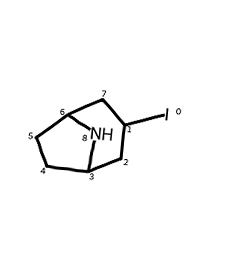 IC1CC2CCC(C1)N2